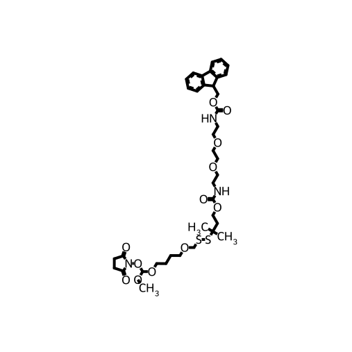 COC(OCCCCOCSSC(C)(C)CCOC(=O)NCCOCCOCCNC(=O)OCC1c2ccccc2-c2ccccc21)ON1C(=O)CCC1=O